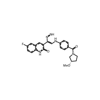 CO[C@H]1CCN(C(=O)c2ccc(N/C=C(\N=N)c3cc4cc(F)ccc4[nH]c3=O)cc2)C1